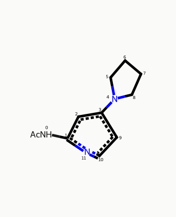 CC(=O)Nc1cc(N2CCCC2)ccn1